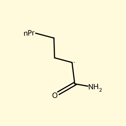 CCCCC[CH]C(N)=O